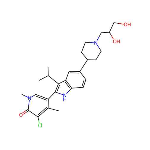 Cc1c(-c2[nH]c3ccc(C4CCN(CC(O)CO)CC4)cc3c2C(C)C)cn(C)c(=O)c1Cl